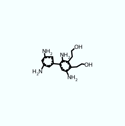 Nc1cc(N)cc(-c2cc(N)c(CCO)c(CCO)c2N)c1